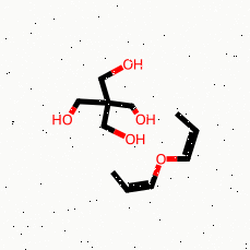 C/C=C\O/C=C\C.OCC(CO)(CO)CO